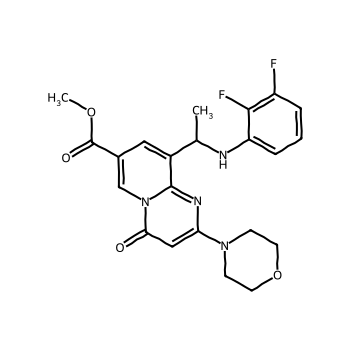 COC(=O)c1cc(C(C)Nc2cccc(F)c2F)c2nc(N3CCOCC3)cc(=O)n2c1